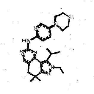 CCn1nc2c(c1C(C)C)-c1nc(Nc3ccc(N4CCNCC4)cn3)ncc1CC2(C)C